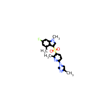 Cc1cn(-c2ccc(S(=O)(=O)c3cn(C)c4cc(F)cc(C)c34)c(C)n2)cn1